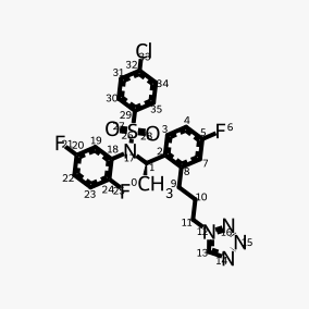 C[C@H](c1ccc(F)cc1CCCn1cnnn1)N(c1cc(F)ccc1F)S(=O)(=O)c1ccc(Cl)cc1